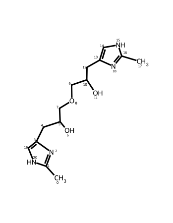 Cc1nc(CC(O)COCC(O)Cc2c[nH]c(C)n2)c[nH]1